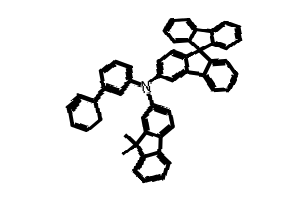 CC1(C)c2ccccc2-c2ccc(N(c3cccc(C4C=CC=CC4)c3)c3ccc4c(c3)-c3ccccc3C43c4ccccc4-c4ccccc43)cc21